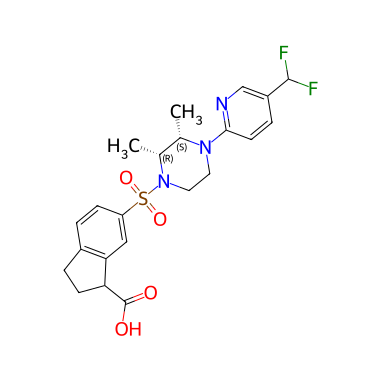 C[C@@H]1[C@H](C)N(c2ccc(C(F)F)cn2)CCN1S(=O)(=O)c1ccc2c(c1)C(C(=O)O)CC2